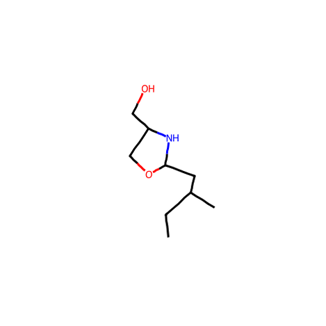 CCC(C)CC1NC(CO)CO1